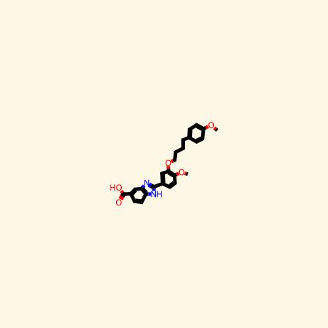 COc1ccc(CCCCOc2cc(-c3nc4cc(C(=O)O)ccc4[nH]3)ccc2OC)cc1